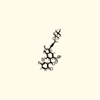 Cn1nc2c(Br)c(C(=O)c3cc(F)ccc3Cl)c([N+](=O)[O-])cc2c1C#CCO[Si](C)(C)C(C)(C)C